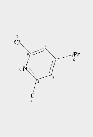 CC(C)c1cc(Cl)nc(Cl)c1